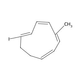 CC1=C/C=C\CC/C(I)=C/C=C\1